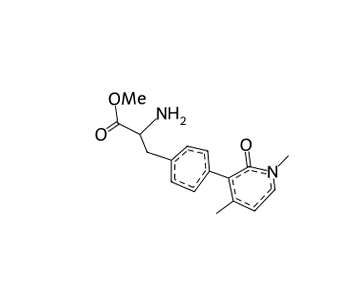 COC(=O)C(N)Cc1ccc(-c2c(C)ccn(C)c2=O)cc1